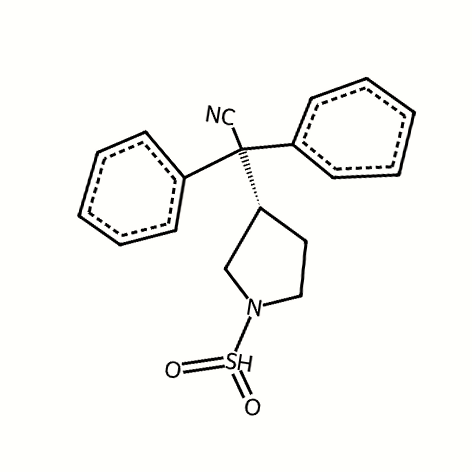 N#CC(c1ccccc1)(c1ccccc1)[C@@H]1CCN([SH](=O)=O)C1